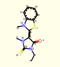 CCN1C(=O)/C(=C2\Sc3ccccc3N2C)N(C)C1=S